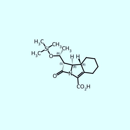 C[C@@H](O[Si](C)(C)C)[C@H]1C(=O)N2C(C(=O)O)=C3CCCC[C@H]3[C@H]12